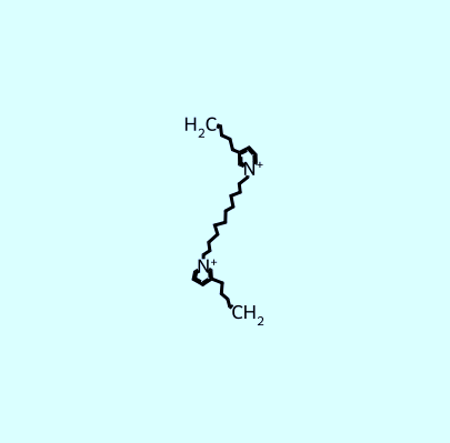 C=CCCCc1ccc[n+](CCCCCCCCCCCC[n+]2cccc(CCCC=C)c2)c1